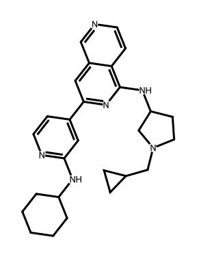 c1cc2c(NC3CCN(CC4CC4)C3)nc(-c3ccnc(NC4CCCCC4)c3)cc2cn1